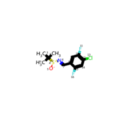 CC(C)(C)[S@@+]([O-])N=Cc1cc(F)c(Cl)cc1F